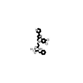 NC(=O)[C@H](Cc1ccccc1)NC(=O)CCNCc1cc(-c2cccnc2)nn1-c1ccc(Cl)c(Cl)c1